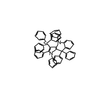 c1ccc(-c2c([Si](c3ccccc3)(c3ccccc3)c3ccccc3)c3c(n2-c2ccccc2)C(c2ccccc2)(c2ccccc2)c2ccccc2N3c2ccccc2)cc1